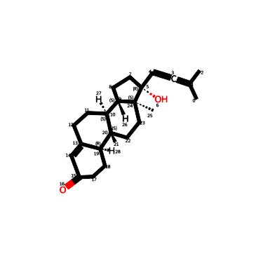 CC(C)=C=C[C@]1(O)CC[C@H]2[C@@H]3CCC4=CC(=O)CC[C@@H]4[C@@]3(C)CC[C@@]21C